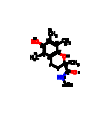 CCCCNC(=O)C1(C)CCc2c(C)c(O)c(C)c(C)c2O1